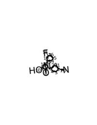 N#Cc1ccc(N2C(=O)[C@H](O)C[C@H]2c2cccc(F)c2)cc1